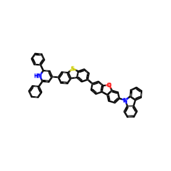 C1=CC(C2=CC(c3ccc4c(c3)sc3ccc(-c5ccc6c(c5)oc5cc(-n7c8ccccc8c8ccccc87)ccc56)cc34)=CC(c3ccccc3)N2)=CCC1